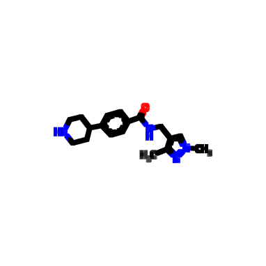 Cc1nn(C)cc1CNC(=O)c1ccc(C2CCNCC2)cc1